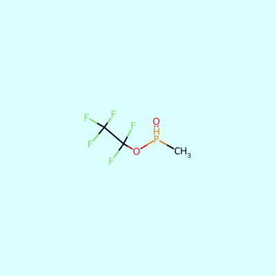 C[PH](=O)OC(F)(F)C(F)(F)F